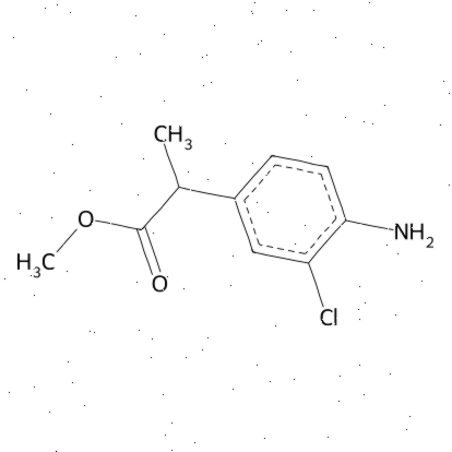 COC(=O)C(C)c1ccc(N)c(Cl)c1